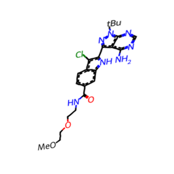 COCCOCCNC(=O)c1ccc2c(Cl)c(-c3nn(C(C)(C)C)c4ncnc(N)c34)[nH]c2c1